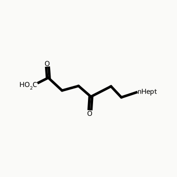 CCCCCCCCCC(=O)CCC(=O)C(=O)O